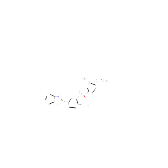 COc1ccc(C(=O)Nc2cc(-c3nc4ccccc4s3)ccc2C)cc1OC